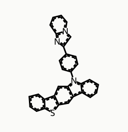 c1ccc2c(c1)sc1cc3c4ccccc4n(-c4ccc(-c5cn6ccccc6n5)cc4)c3cc12